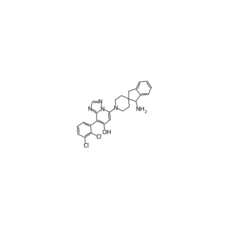 NC1c2ccccc2CC12CCN(c1cc(O)c(-c3cccc(Cl)c3Cl)c3ncnn13)CC2